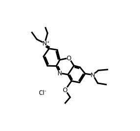 CCOc1cc(N(CC)CC)cc2oc3cc(=[N+](CC)CC)ccc-3nc12.[Cl-]